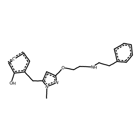 Cn1nc(OCCNCCc2ccccc2)cc1Cc1ccccc1O